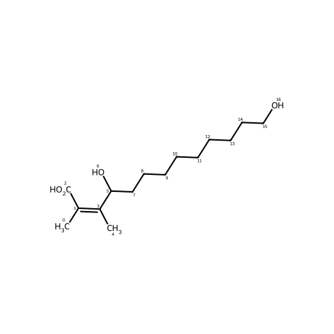 CC(C(=O)O)=C(C)C(O)CCCCCCCCCO